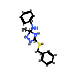 CC(C)C1(Nc2ccccc2)N=NC(SCc2ccccc2)=N1